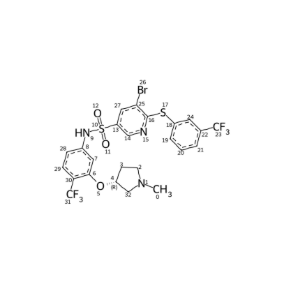 CN1CC[C@@H](Oc2cc(NS(=O)(=O)c3cnc(Sc4cccc(C(F)(F)F)c4)c(Br)c3)ccc2C(F)(F)F)C1